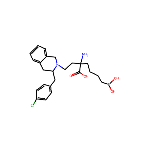 NC(CCCCB(O)O)(CCN1Cc2ccccc2CC1Cc1ccc(Cl)cc1)C(=O)O